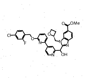 COC(=O)c1ccc2nc(C(O)c3cc(-c4cccc(OCc5ccc(Cl)cc5F)n4)ccn3)n(C[C@@H]3CCO3)c2c1